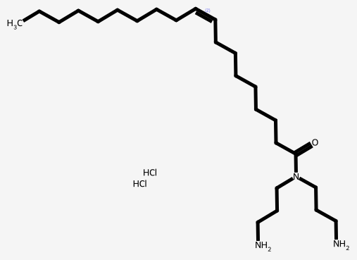 CCCCCCCCC/C=C\CCCCCCCC(=O)N(CCCN)CCCN.Cl.Cl